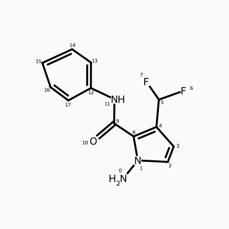 Nn1ccc(C(F)F)c1C(=O)Nc1ccccc1